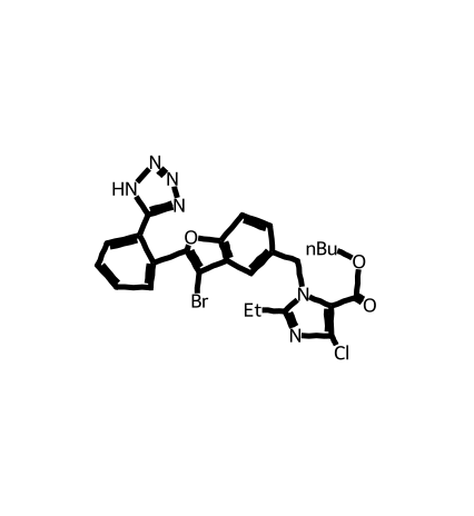 CCCCOC(=O)c1c(Cl)nc(CC)n1Cc1ccc2oc(-c3ccccc3-c3nnn[nH]3)c(Br)c2c1